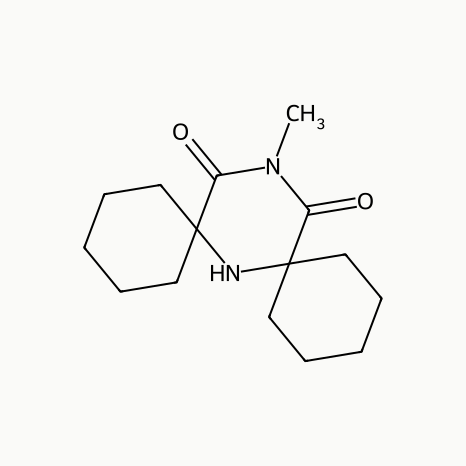 CN1C(=O)C2(CCCCC2)NC2(CCCCC2)C1=O